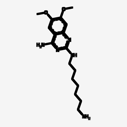 COc1cc2nc(NCCCCCCCN)nc(N)c2cc1OC